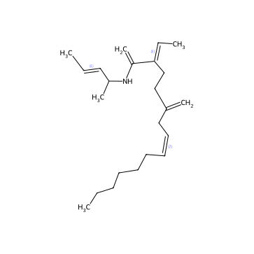 C=C(C/C=C\CCCCCC)CC/C(=C\C)C(=C)NC(C)/C=C/C